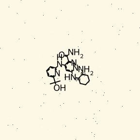 CC(C)(O)c1cccc(Nc2cc(N[C@@H]3CCCC[C@@H]3N)nnc2C(N)=O)n1